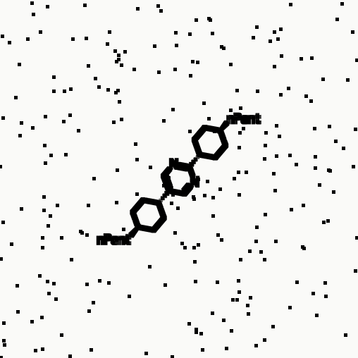 CCCCC[C@H]1CC[C@H](c2cnc([C@H]3CC[C@H](CCCCC)CC3)nc2)CC1